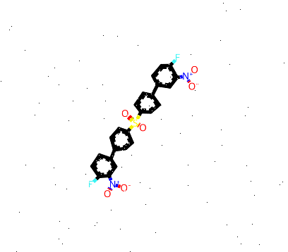 O=[N+]([O-])c1cc(-c2ccc(S(=O)(=O)c3ccc(-c4ccc(F)c([N+](=O)[O-])c4)cc3)cc2)ccc1F